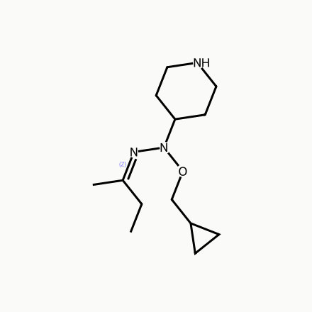 CC/C(C)=N\N(OCC1CC1)C1CCNCC1